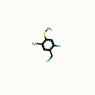 CSc1cc(F)c(CCl)cc1C